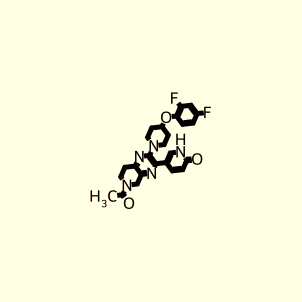 CC(=O)N1CCc2nc(N3CCC(Oc4ccc(F)cc4F)CC3)c(-c3ccc(=O)[nH]c3)nc2C1